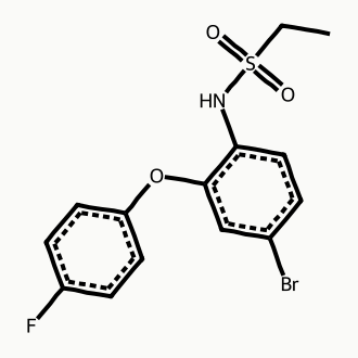 CCS(=O)(=O)Nc1ccc(Br)cc1Oc1ccc(F)cc1